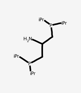 CC(C)P(CC(N)CP(C(C)C)C(C)C)C(C)C